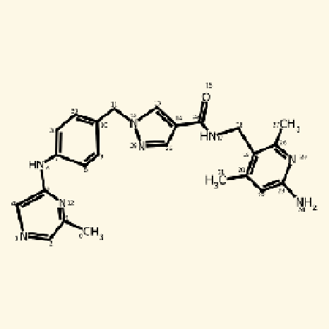 Cc1cncc(Nc2ccc(Cn3cc(C(=O)NCc4c(C)cc(N)nc4C)cn3)cc2)n1